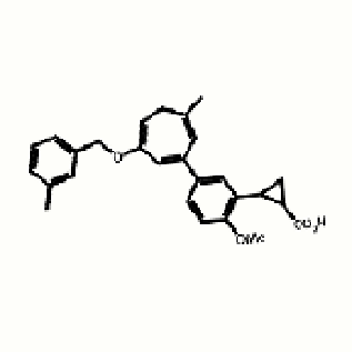 COc1ccc(C2=CC(OCc3cccc(C)c3)=CCC(C)=C2)cc1C1CC1C(=O)O